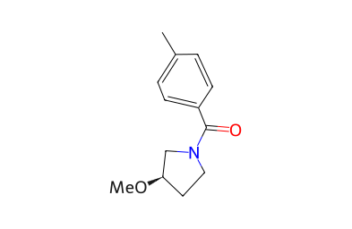 CO[C@@H]1CCN(C(=O)c2ccc(C)cc2)C1